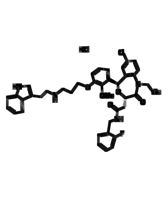 COc1c(OCCCNCCc2c[nH]c3ccccc23)cccc1[C@@H]1O[C@@H](CC(=O)NCc2ccccc2F)C(=O)N(CC(C)(C)C)c2ccc(Cl)cc21.Cl